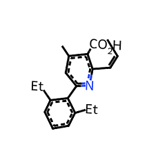 C/C=C\c1nc(-c2c(CC)cccc2CC)cc(C)c1C(=O)O